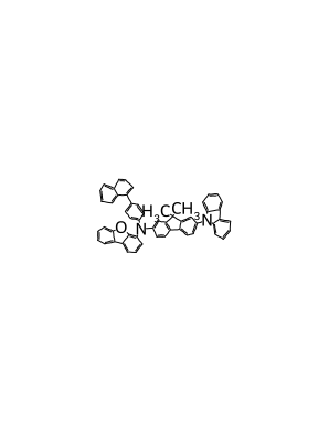 CC1(C)c2cc(N(c3ccc(-c4cccc5ccccc45)cc3)c3cccc4c3oc3ccccc34)ccc2-c2ccc(-n3c4ccccc4c4ccccc43)cc21